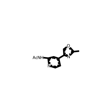 CC(=O)Nc1cc(-c2coc(C)n2)ccn1